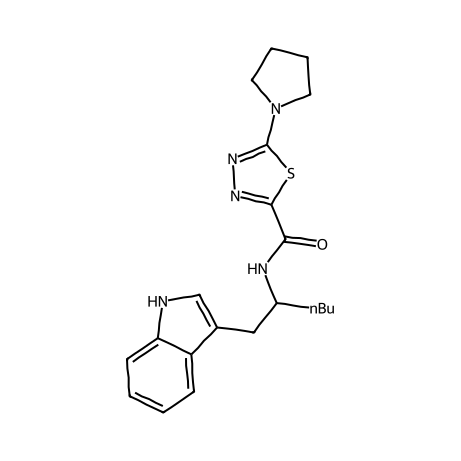 CCCCC(Cc1c[nH]c2ccccc12)NC(=O)c1nnc(N2CCCC2)s1